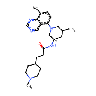 CC1C[C@@H](NC(=O)CCC2CCN(C)CC2)CN(c2ccc(C#N)c3ncncc23)C1